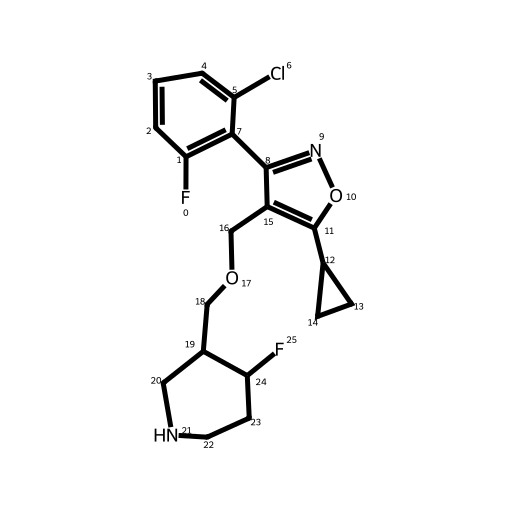 Fc1cccc(Cl)c1-c1noc(C2CC2)c1COCC1CNCCC1F